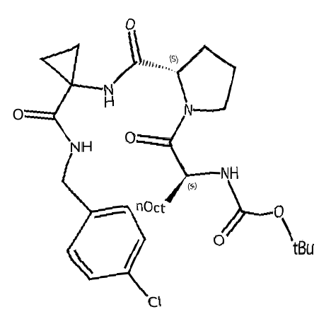 CCCCCCCC[C@H](NC(=O)OC(C)(C)C)C(=O)N1CCC[C@H]1C(=O)NC1(C(=O)NCc2ccc(Cl)cc2)CC1